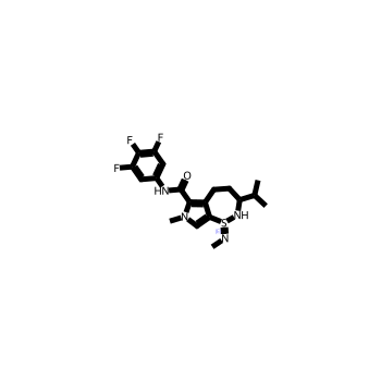 C/N=S1/NC(C(C)C)CCc2c1cn(C)c2C(=O)Nc1cc(F)c(F)c(F)c1